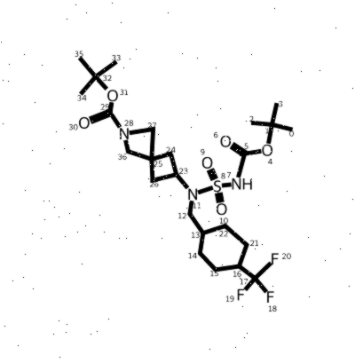 CC(C)(C)OC(=O)NS(=O)(=O)N(CC1CCC(C(F)(F)F)CC1)C1CC2(C1)CN(C(=O)OC(C)(C)C)C2